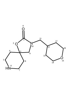 O=C1OC2(CCNCC2)CN1CC1CCOCC1